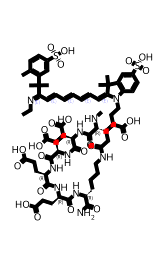 CC\N=C(/C=C/C=C/C=C/C=C1/N(CCCCCC(=O)NCCCC[C@@H](NC(=O)[C@@H](CCC(=O)O)NC(=O)[C@@H](CCC(=O)O)NC(=O)[C@@H](CCC(=O)O)NC(=O)[C@@H](CCC(=O)O)NC(=O)[C@@H](CCC(=O)O)NC)C(N)=O)c2ccc(S(=O)(=O)O)cc2C1(C)C)C(C)(C)c1cc(S(=O)(=O)O)ccc1C